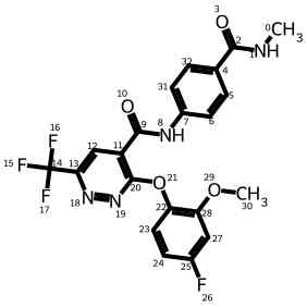 CNC(=O)c1ccc(NC(=O)c2cc(C(F)(F)F)nnc2Oc2ccc(F)cc2OC)cc1